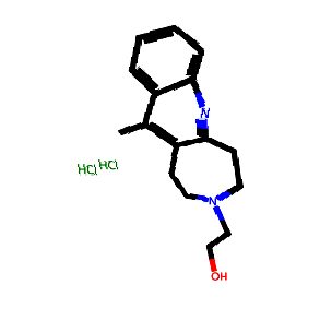 Cc1c2c(nc3ccccc13)CCN(CCO)CC2.Cl.Cl